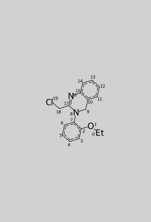 CCOc1ccccc1N1Cc2ccccc2N=C1CCl